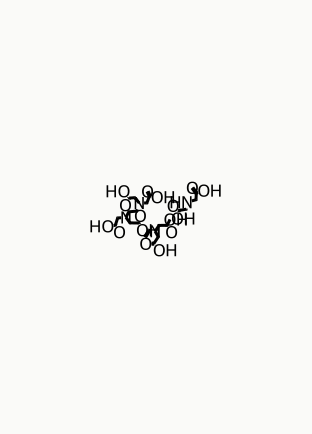 C=CN(CC(=O)O)CC(=O)O.O=C(O)CN(CCN(CC(=O)O)CC(=O)O)CC(=O)O.O=C(O)CNCC(=O)O